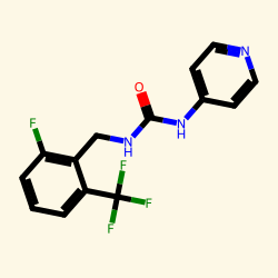 O=C(NCc1c(F)cccc1C(F)(F)F)Nc1ccncc1